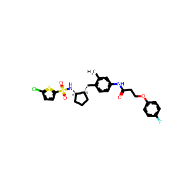 Cc1cc(NC(=O)CCOc2ccc(F)cc2)ccc1C[C@@H]1CCC[C@@H]1NS(=O)(=O)c1ccc(Cl)s1